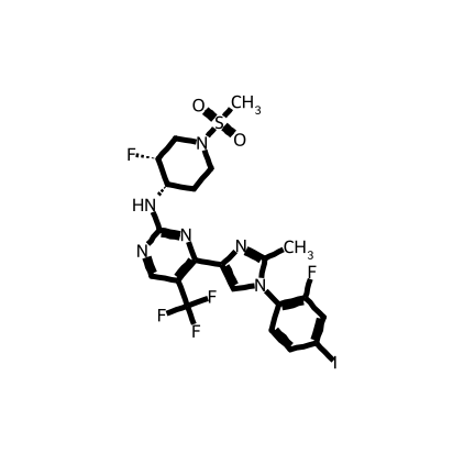 Cc1nc(-c2nc(N[C@H]3CCN(S(C)(=O)=O)C[C@H]3F)ncc2C(F)(F)F)cn1-c1ccc(I)cc1F